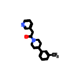 O=C(Cc1cccnc1)N1CC=C(c2cccc(C(F)(F)F)c2)CC1